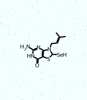 CC(C)=CCN1c2nc(N)[nH]c(=O)c2SC1[SeH]